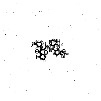 Cc1nc2ccc(-c3nn(C(C)c4oc5cccc(F)c5c(=O)c4-c4cccc(F)c4)c4ncnc(N)c34)cc2o1